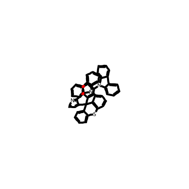 c1ccc2c(c1)Sc1cccc(-n3c4ccccc4c4ccccc43)c1C21c2cccnc2-c2ncc(-n3c4ccccc4c4ccccc43)cc21